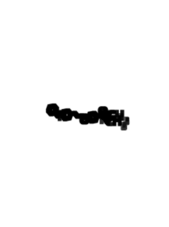 CC1(C)COC(c2ccc(OCCCC3CCN(Cc4ccccc4)CC3)cc2)=N1